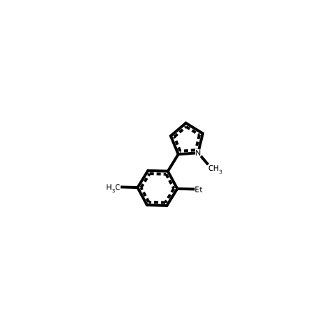 CCc1ccc(C)cc1-c1cccn1C